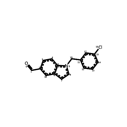 O=Cc1ccc2c(ccn2Cc2cccc(Cl)c2)c1